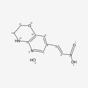 Cl.O=C(O)/C=C/c1cnc2c(c1)OCCN2